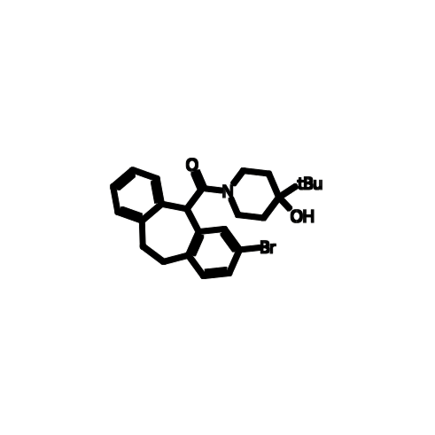 CC(C)(C)C1(O)CCN(C(=O)C2c3ccccc3CCc3ccc(Br)cc32)CC1